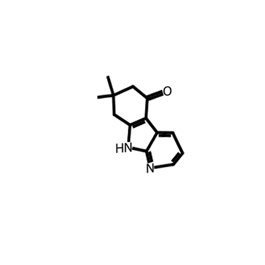 CC1(C)CC(=O)c2c([nH]c3ncccc23)C1